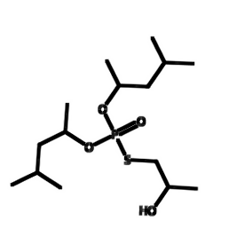 CC(C)CC(C)OP(=O)(OC(C)CC(C)C)SCC(C)O